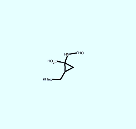 CCCCCCCC1C[C@]1(NC=O)C(=O)O